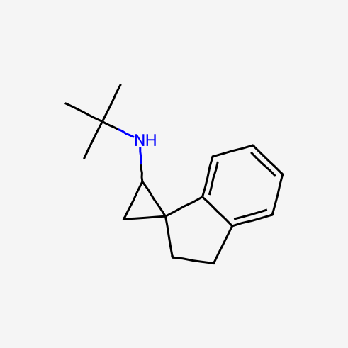 CC(C)(C)NC1CC12CCc1ccccc12